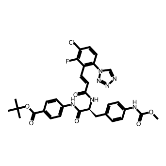 COC(=O)Nc1ccc(C[C@H](NC(=O)/C=C/c2c(-n3cnnn3)ccc(Cl)c2F)C(=O)Nc2ccc(C(=O)OC(C)(C)C)cc2)cc1